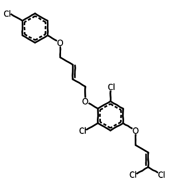 ClC(Cl)=CCOc1cc(Cl)c(OCC=CCOc2ccc(Cl)cc2)c(Cl)c1